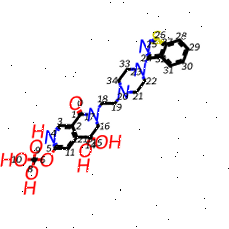 O=C1c2cnc(OC(O)(O)O)cc2C(O)(O)CN1CCN1CCN(c2nsc3ccccc23)CC1